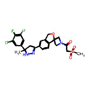 CC1(c2cc(Cl)c(F)c(Cl)c2)CC(c2ccc3c(c2)COC32CN(C(=O)CS(C)(=O)=O)C2)=NN1